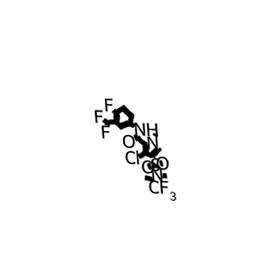 C[C@@H](N(C)S(=O)(=O)c1cn(C)c(C(=O)Nc2ccc(F)c(C(F)F)c2)c1Cl)C(F)(F)F